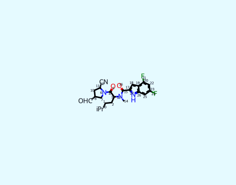 CC(C)CCC(C(=O)N1CC(C=O)CC1C#N)N(C)C(=O)c1cc2c(F)cc(F)cc2[nH]1